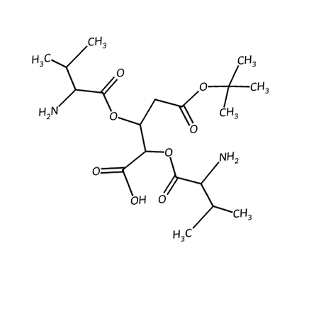 CC(C)C(N)C(=O)OC(CC(=O)OC(C)(C)C)C(OC(=O)C(N)C(C)C)C(=O)O